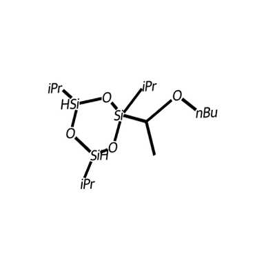 CCCCOC(C)[Si]1(C(C)C)O[SiH](C(C)C)O[SiH](C(C)C)O1